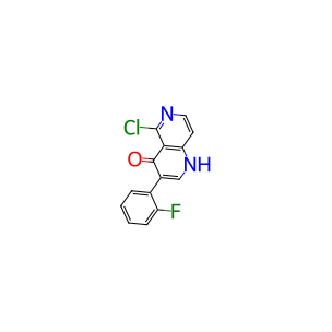 O=c1c(-c2ccccc2F)c[nH]c2ccnc(Cl)c12